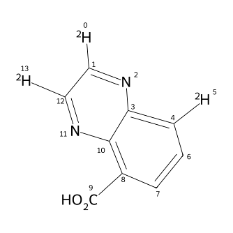 [2H]c1nc2c([2H])ccc(C(=O)O)c2nc1[2H]